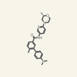 Cc1ccc(C(=O)Nc2ccc(N3CCO[C@H](C)C3)nc2)cc1-c1ccc(N(C)C)cc1